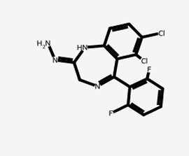 NN=C1CN=C(c2c(F)cccc2F)c2c(ccc(Cl)c2Cl)N1